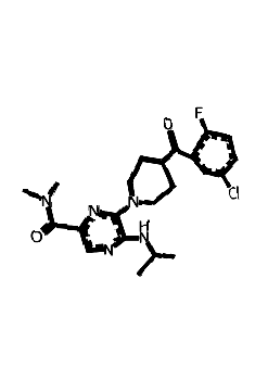 CC(C)Nc1ncc(C(=O)N(C)C)nc1N1CCC(C(=O)c2cc(Cl)ccc2F)CC1